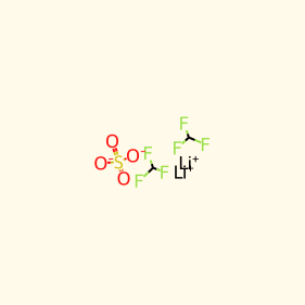 FC(F)F.FC(F)F.O=S(=O)([O-])[O-].[Li+].[Li+]